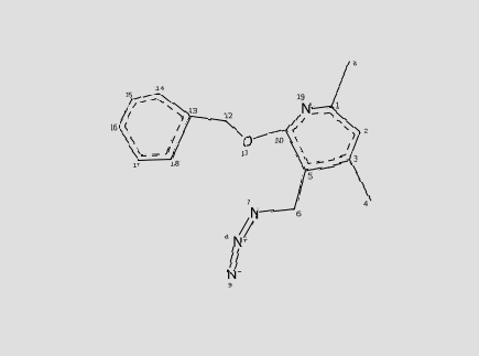 Cc1cc(C)c(CN=[N+]=[N-])c(OCc2ccccc2)n1